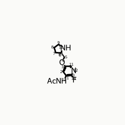 CC(=O)Nc1cc(OC[C@H]2CCCN2)cnc1F